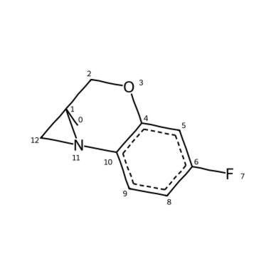 CC12COc3cc(F)ccc3N1C2